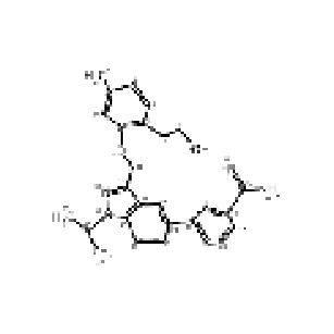 Cc1ccc(CCO)c(OCc2nn(C(C)C)c3ccc(-c4cccc(C(=N)N)c4)cc23)c1